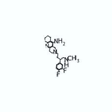 CNCC(CCN1CCc2nc3c(c(N)c2C1)CCCC3)c1ccc(F)c(F)c1